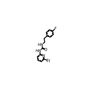 CCc1cccc(NC(=O)NCCc2ccc(F)cc2)n1